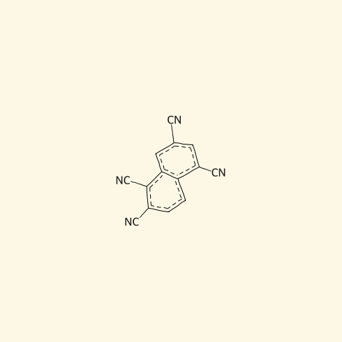 N#Cc1cc(C#N)c2ccc(C#N)c(C#N)c2c1